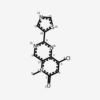 Cn1c(=O)cc(Cl)c2nc(-c3cncs3)ncc21